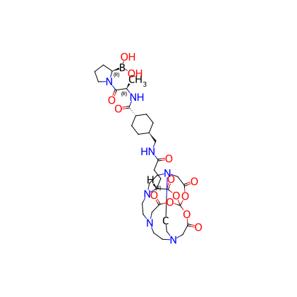 C[C@@H](NC(=O)[C@H]1CC[C@H](CNC(=O)CC[C@@H]2C(=O)OC34OC(=O)CN5CCN(CCN2CCN(CC5)CC(=O)O3)CC(=O)O4)CC1)C(=O)N1CCC[C@H]1B(O)O